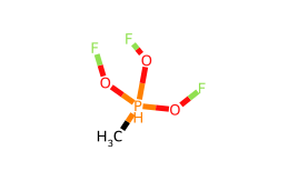 C[PH](OF)(OF)OF